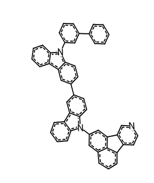 c1ccc(-c2cccc(-n3c4ccccc4c4cc(-c5ccc6c(c5)c5ccccc5n6-c5cc6c7c(cccc7c5)-c5ccncc5-6)ccc43)c2)cc1